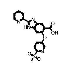 CS(=O)(=O)c1ccc(Oc2cc3[nH]c(-c4ccccn4)nc3cc2C(=O)O)cn1